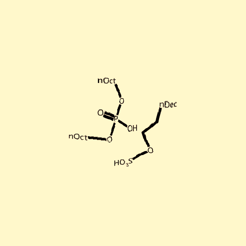 CCCCCCCCCCCCOS(=O)(=O)O.CCCCCCCCOP(=O)(O)OCCCCCCCC